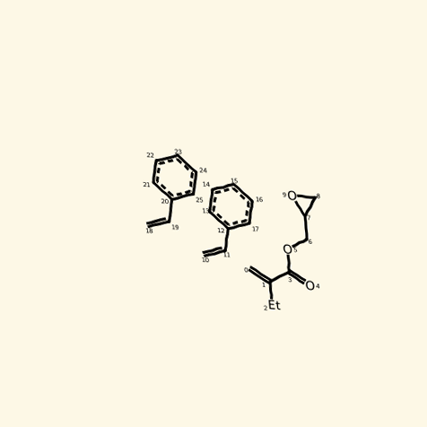 C=C(CC)C(=O)OCC1CO1.C=Cc1ccccc1.C=Cc1ccccc1